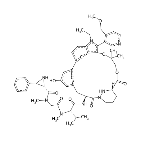 CCn1c(-c2cnccc2COC)c2c3cc(ccc31)-c1cc(O)cc(c1)C[C@H](NC(=O)[C@H](C(C)C)N(C)C(=O)CN(C)C(=O)[C@H]1N[C@H]1c1ccccc1)C(=O)N1CCC[C@H](N1)C(=O)OCC(C)(C)C2